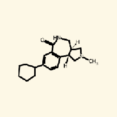 CN1C[C@@H]2CNC(=O)c3cc(C4CCCCC4)ccc3[C@H]2C1